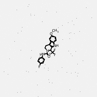 COc1ccc2[nH]c3c(c2c1)CCN(C(=O)Nc1ccc(F)cc1)C3C(F)(F)F